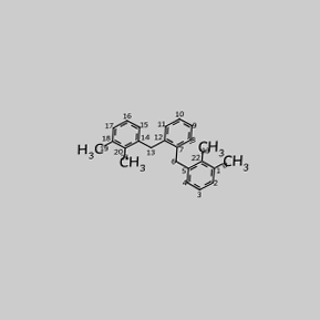 Cc1cccc(Cc2[c]cccc2Cc2cccc(C)c2C)c1C